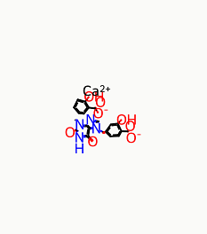 Cn1cnc2c1c(=O)[nH]c(=O)n2C.O=C([O-])c1ccccc1O.O=C([O-])c1ccccc1O.[Ca+2]